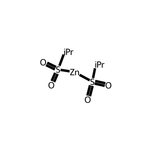 CC(C)[S](=O)(=O)[Zn][S](=O)(=O)C(C)C